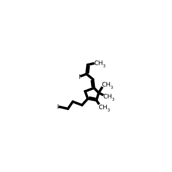 C/C=C(I)\C=C1/CC(CCCI)=C(C)C1(C)C